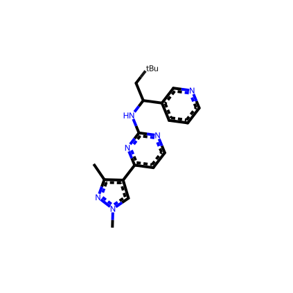 Cc1nn(C)cc1-c1ccnc(NC(CC(C)(C)C)c2cccnc2)n1